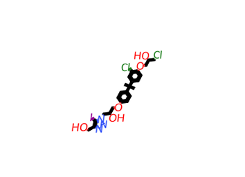 CC(C)(c1ccc(OC[C@@H](O)Cn2nnc(CO)c2I)cc1)c1ccc(OC[C@H](O)CCl)c(Cl)c1